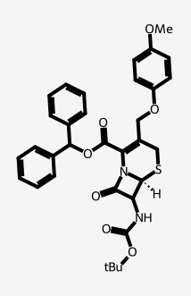 COc1ccc(OCC2=C(C(=O)OC(c3ccccc3)c3ccccc3)N3C(=O)C(NC(=O)OC(C)(C)C)[C@@H]3SC2)cc1